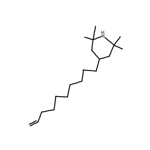 C=CCCCCCCCCC1CC(C)(C)NC(C)(C)C1